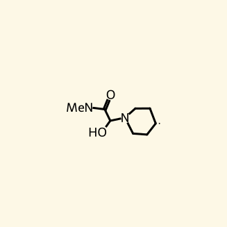 CNC(=O)C(O)N1CC[CH]CC1